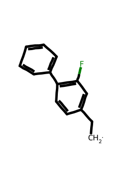 [CH2]Cc1ccc(-c2ccccc2)c(F)c1